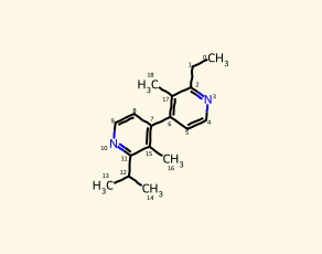 CCc1nccc(-c2ccnc(C(C)C)c2C)c1C